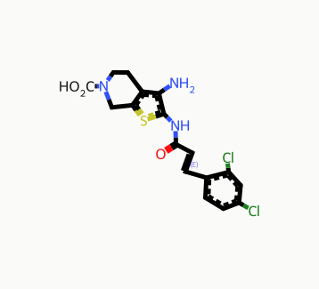 Nc1c(NC(=O)/C=C/c2ccc(Cl)cc2Cl)sc2c1CCN(C(=O)O)C2